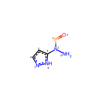 NN(P=O)c1ccn[nH]1